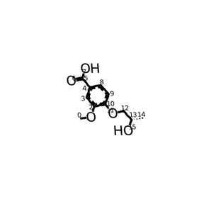 COc1cc(C(=O)O)ccc1OC[C@H](C)O